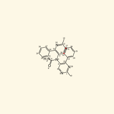 Cc1ncc(N(C(N)=O)c2cnc(C)nc2-c2ccccc2)c(-c2ccccc2)n1